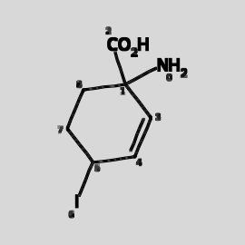 NC1(C(=O)O)C=CC(I)CC1